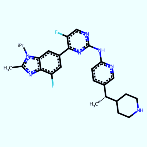 Cc1nc2c(F)cc(-c3nc(Nc4ccc([C@@H](C)C5CCNCC5)cn4)ncc3F)cc2n1C(C)C